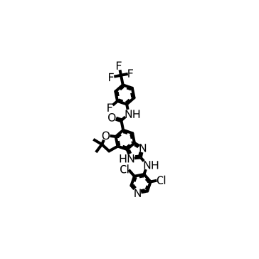 CC1(C)Cc2c(c(C(=O)Nc3ccc(C(F)(F)F)cc3F)cc3nc(Nc4c(Cl)cncc4Cl)[nH]c23)O1